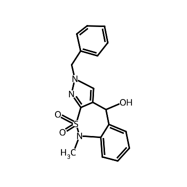 CN1c2ccccc2C(O)c2cn(Cc3ccccc3)nc2S1(=O)=O